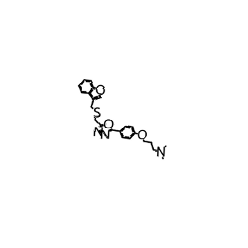 CN(C)CCCOc1ccc(-c2nnc(CSCc3coc4ccccc34)o2)cc1